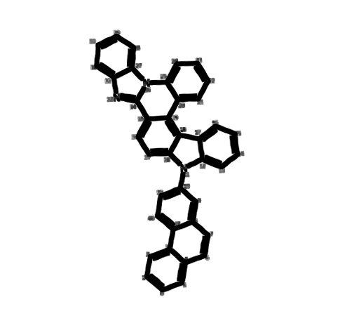 c1ccc2c(c1)ccc1cc(-n3c4ccccc4c4c5c6ccccc6n6c7ccccc7nc6c5ccc43)ccc12